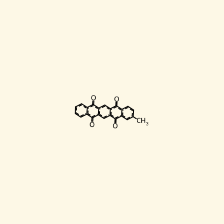 Cc1ccc2c(=O)c3cc4c(=O)c5ccccc5c(=O)c4cc3c(=O)c2c1